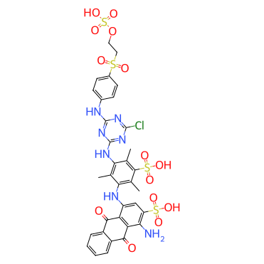 Cc1c(Nc2nc(Cl)nc(Nc3ccc(S(=O)(=O)CCOS(=O)(=O)O)cc3)n2)c(C)c(S(=O)(=O)O)c(C)c1Nc1cc(S(=O)(=O)O)c(N)c2c1C(=O)c1ccccc1C2=O